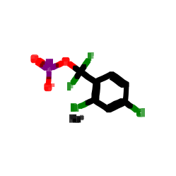 O=[PH]([O-])OC(F)(F)c1ccc(Cl)cc1Br.[Na+]